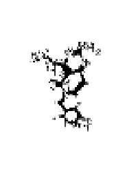 CCCCNc1nc(N)nc2ccn(CC3CCNCC3)c(=O)c12